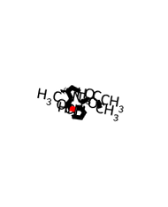 CC[C@H]1CCN(C(C(=O)OC(C)(C)C)[C@@H]2CCCN2)C1C(=O)O